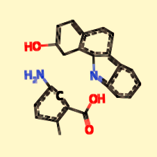 Cc1ccc(N)cc1C(=O)O.OC1=CC=c2ccc3c(c2C1)N=c1ccccc1=3